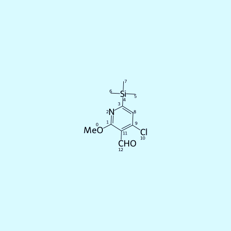 COc1nc([Si](C)(C)C)cc(Cl)c1C=O